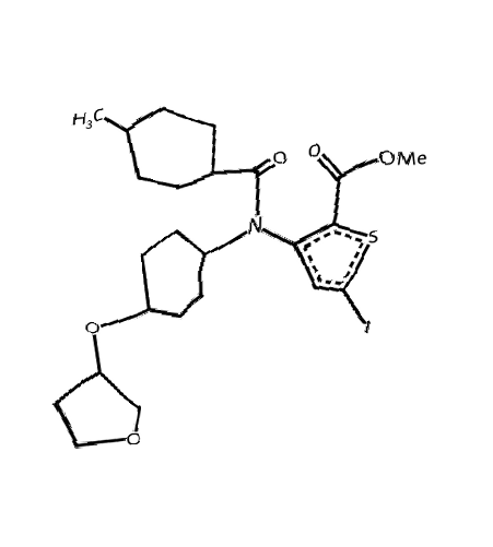 COC(=O)c1sc(I)cc1N(C(=O)C1CCC(C)CC1)C1CCC(OC2CCOC2)CC1